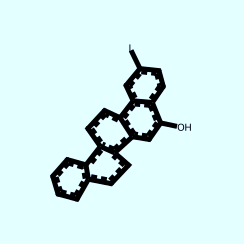 Oc1cc2c(ccc3c4ccccc4ccc32)c2cc(I)ccc12